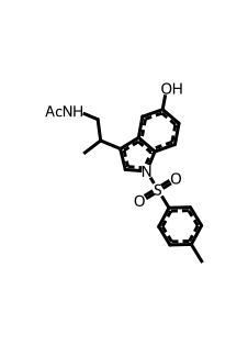 CC(=O)NCC(C)c1cn(S(=O)(=O)c2ccc(C)cc2)c2ccc(O)cc12